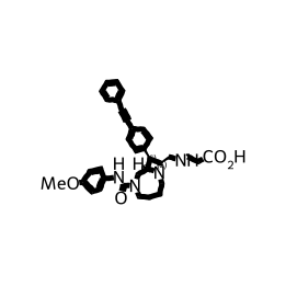 COc1ccc(NC(=O)N2CCCCN3[C@H](CNCCC(=O)O)[C@H](c4ccc(C#Cc5ccccc5)cc4)[C@@H]3C2)cc1